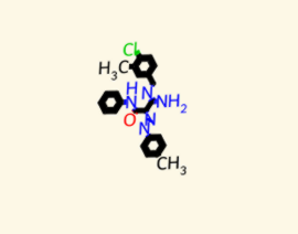 Cc1ccc(/N=N/C(C(=O)Nc2ccccc2)/C(N)=N/Cc2ccc(Cl)c(C)c2)cc1